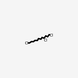 ClCCCCCCCCC(Cl)CCCCl